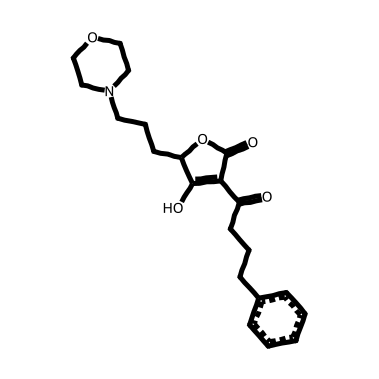 O=C(CCCc1ccccc1)C1=C(O)C(CCCN2CCOCC2)OC1=O